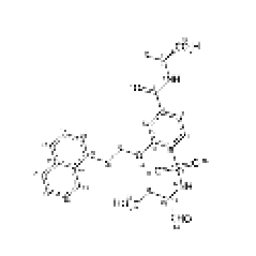 C[C@H](NC(=O)c1ccc(S(=O)(=O)N[C@H](C=O)CC(=O)O)c(OCCc2cccc3ccccc23)c1)C(=O)O